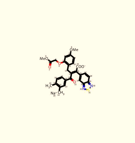 COC(=O)COc1cc(OC)ccc1CC(C(=O)c1ccc(C)c(C)c1)=C(C(=O)[O-])c1ccc2nsnc2c1.[Na+]